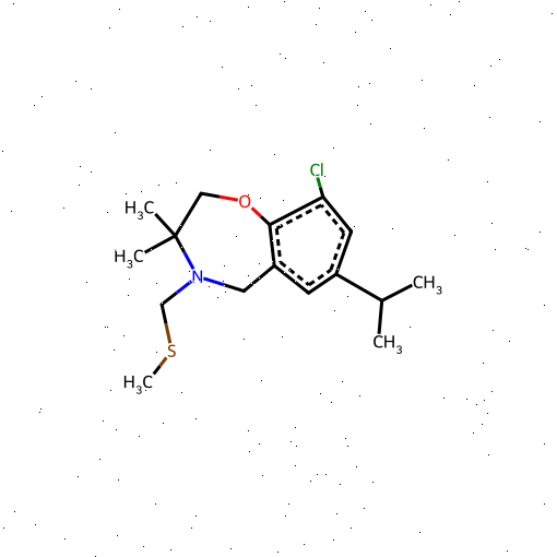 CSCN1Cc2cc(C(C)C)cc(Cl)c2OCC1(C)C